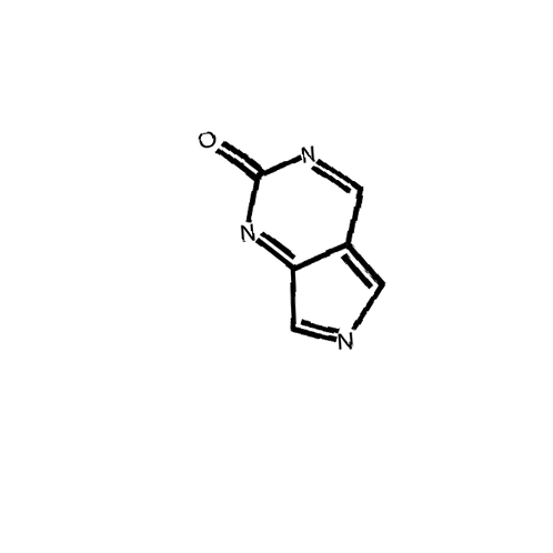 O=C1N=CC2=CN=CC2=N1